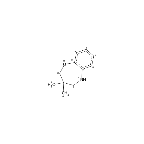 CC1(C)CNc2ccccc2OC1